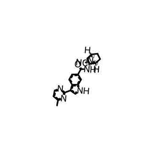 Cc1ccnc(-c2c[nH]c3cc(C(=O)N[C@@H]4C[C@@H]5CC[C@H]4N5C#N)ccc23)n1